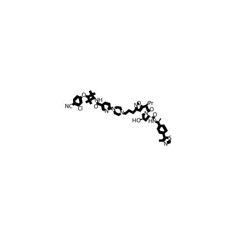 Cc1ncsc1-c1ccc([C@H](C)NC(=O)[C@@H]2C[C@@H](O)CN2C(=O)[C@@H](c2cc(CCCN3CCN(c4ccc(C(=O)NC5C(C)(C)C(Oc6ccc(C#N)c(Cl)c6)C5(C)C)cn4)CC3)no2)C(C)C)cc1